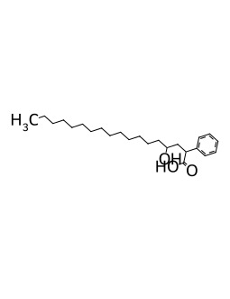 CCCCCCCCCCCCCCC(O)CC(C(=O)O)c1ccccc1